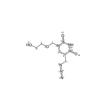 [N-]=[N+]=NCc1cn(COCCO)c(=O)[nH]c1=O